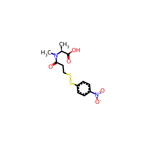 C[C@@H](C(=O)O)N(C)C(=O)CCSSc1ccc([N+](=O)[O-])cc1